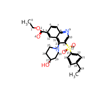 CCOC(=O)c1ccc2ncc(S(=O)(=O)c3ccc(CC)cc3)c(N3CCC(O)CC3)c2c1